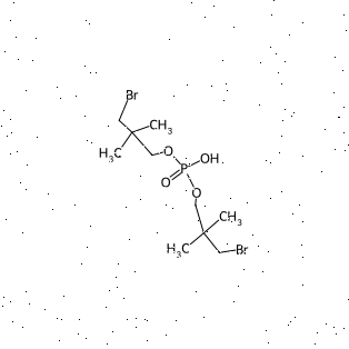 CC(C)(CBr)COP(=O)(O)OCC(C)(C)CBr